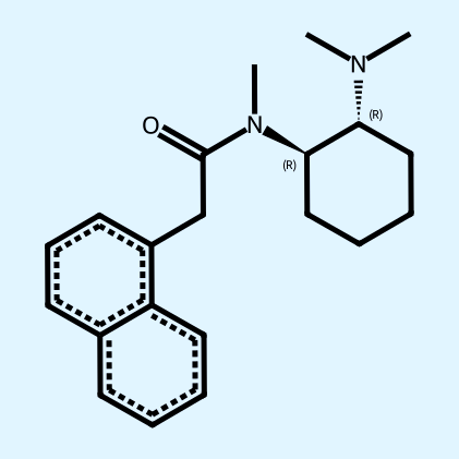 CN(C)[C@@H]1CCCC[C@H]1N(C)C(=O)Cc1cccc2ccccc12